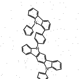 c1ccc(-n2c3ccccc3c3cc4c(cc32)c2ccccc2n4-c2ccc(-c3cccc4c5ccccc5n(-c5ccccc5)c34)cc2)cc1